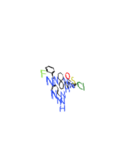 CO[C@H]1[C@@H](NC(=O)c2ncc(Cl)s2)CCC[C@H]1n1c(-c2ccccc2F)nc2cnc(-c3nc[nH]n3)cc21